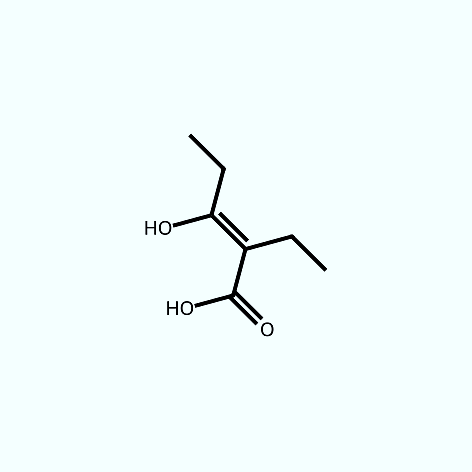 CC/C(O)=C(\CC)C(=O)O